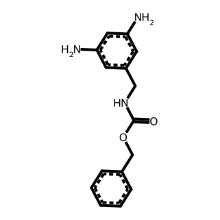 Nc1cc(N)cc(CNC(=O)OCc2ccccc2)c1